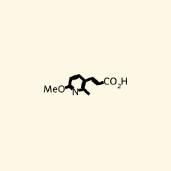 COc1ccc(C=CC(=O)O)c(C)n1